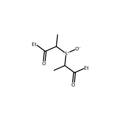 CCC(=O)C(C)[S+]([O-])C(C)C(=O)CC